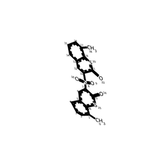 Cc1cccc2cc(S(=O)(=O)c3cc4cccc(C)c4sc3=O)c(=O)sc12